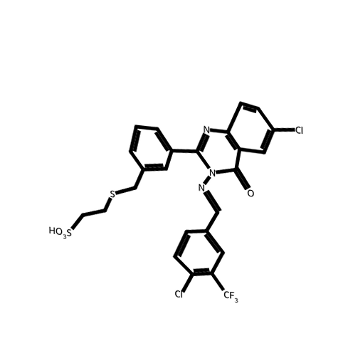 O=c1c2cc(Cl)ccc2nc(-c2cccc(CSCCS(=O)(=O)O)c2)n1N=Cc1ccc(Cl)c(C(F)(F)F)c1